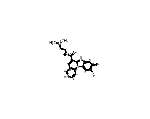 CN(C)CCNC(=O)c1cc2cnccc2n2c1nc1cc(F)c(F)cc12